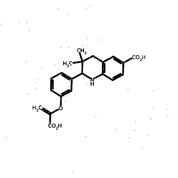 C=C(Oc1cccc(C2Nc3ccc(C(=O)O)cc3CC2(C)C)c1)C(=O)O